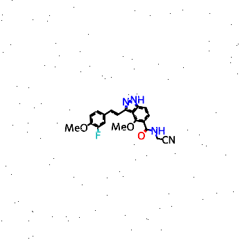 COc1ccc(/C=C/c2n[nH]c3ccc(C(=O)NCC#N)c(OC)c23)cc1F